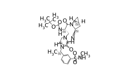 CNS(=O)(=O)c1cccc([C@H](C)N2C(=O)[C@@H]3C[C@H]2CN3C[C@H](NC(=O)OC(C)(C)C)C(=O)N2[C@H](C#N)C[C@@H]3C[C@@H]32)c1